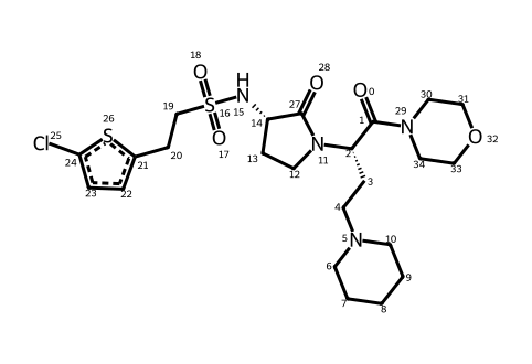 O=C([C@H](CCN1CCCCC1)N1CC[C@H](NS(=O)(=O)CCc2ccc(Cl)s2)C1=O)N1CCOCC1